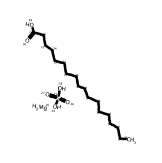 CCCCCCCCCCCCCCCCCC(=O)O.O=S(=O)(O)O.[MgH2]